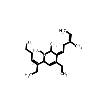 C/C=C(/C)CC=C1C(CC)=CC(/C(=C\CCC)CC)N(C)C1C